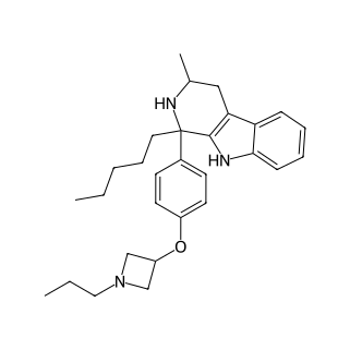 CCCCCC1(c2ccc(OC3CN(CCC)C3)cc2)NC(C)Cc2c1[nH]c1ccccc21